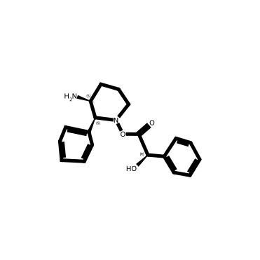 N[C@H]1CCCN(OC(=O)[C@H](O)c2ccccc2)[C@H]1c1ccccc1